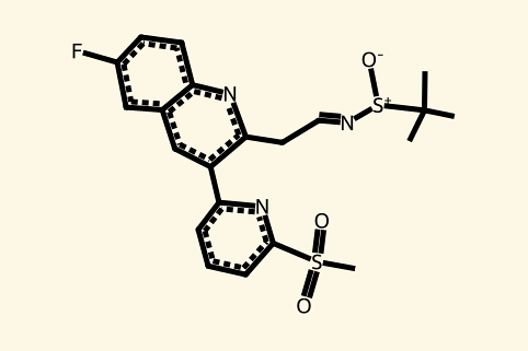 CC(C)(C)[S+]([O-])N=CCc1nc2ccc(F)cc2cc1-c1cccc(S(C)(=O)=O)n1